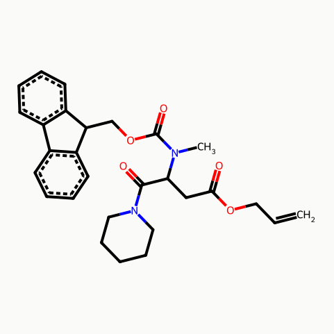 C=CCOC(=O)CC(C(=O)N1CCCCC1)N(C)C(=O)OCC1c2ccccc2-c2ccccc21